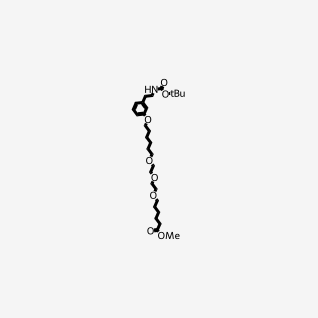 COC(=O)CCCCCOCCOCCOCCCCCCOc1cccc(CCNC(=O)OC(C)(C)C)c1